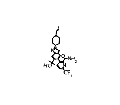 CC(C)(O)c1cc2nn(C3CCC(CI)CC3)cc2cc1-c1ccc(C(F)(F)F)nc1C(N)=O